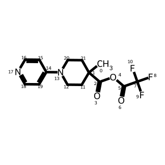 CC1(C(=O)OC(=O)C(F)(F)F)CCN(c2ccncc2)CC1